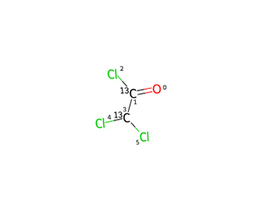 O=[13C](Cl)[13CH](Cl)Cl